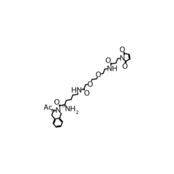 CC(=O)[C@@H]1Cc2ccccc2CN1C(=O)[C@@H](N)CCCCNC(=O)COCCOCCNC(=O)CCN1C(=O)C=CC1=O